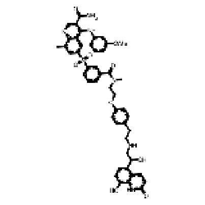 COc1cccc(Nc2c(C(N)=O)cnc3c(C)cc(S(=O)(=O)c4cccc(C(=O)N(C)CCOc5ccc(CCNCC(O)c6ccc(O)c7[nH]c(=O)ccc67)cc5)c4)cc23)c1